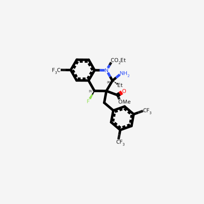 CCOC(=O)N1c2ccc(C(F)(F)F)cc2[C@H](F)C(Cc2cc(C(F)(F)F)cc(C(F)(F)F)c2)(C(=O)OC)[C@@]1(N)CC